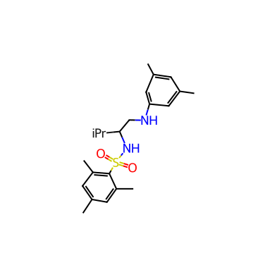 Cc1cc(C)cc(NCC(NS(=O)(=O)c2c(C)cc(C)cc2C)C(C)C)c1